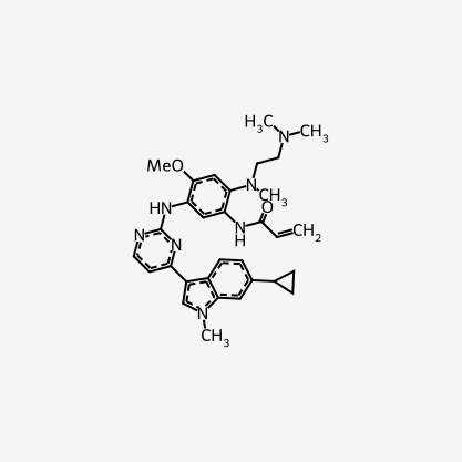 C=CC(=O)Nc1cc(Nc2nccc(-c3cn(C)c4cc(C5CC5)ccc34)n2)c(OC)cc1N(C)CCN(C)C